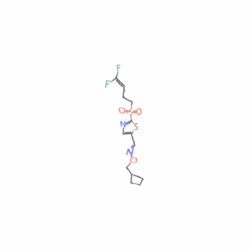 O=S(=O)(CCC=C(F)F)c1ncc(C=NOCC2CCC2)s1